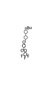 CCCCC1CCC(C2CCC(COc3ccc(C(=O)Oc4cc(F)c(F)c(F)c4)cc3)CC2)CC1